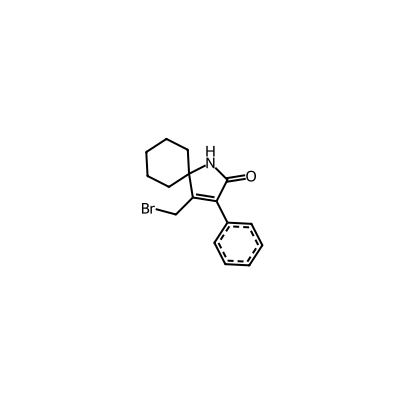 O=C1NC2(CCCCC2)C(CBr)=C1c1ccccc1